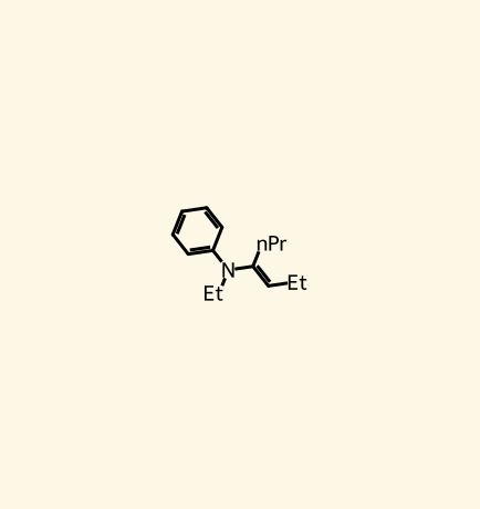 CC/C=C(\CCC)N(CC)c1ccccc1